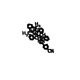 Cc1cccc(C)c1N1C(=C/C=c2/c3ccccc3n3c(-c4ccc(C#N)cc4)cnc23)N(c2c(C)cccc2C)c2nc3ccccc3nc21